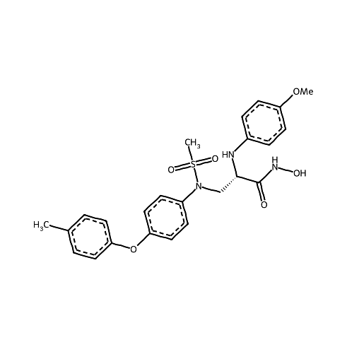 COc1ccc(N[C@@H](CN(c2ccc(Oc3ccc(C)cc3)cc2)S(C)(=O)=O)C(=O)NO)cc1